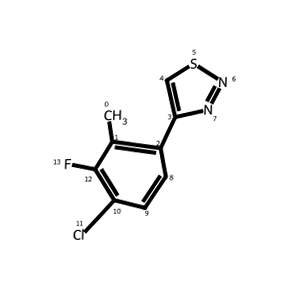 Cc1c(-c2csnn2)ccc(Cl)c1F